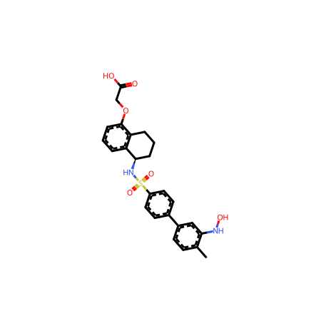 Cc1ccc(-c2ccc(S(=O)(=O)N[C@@H]3CCCc4c(OCC(=O)O)cccc43)cc2)cc1NO